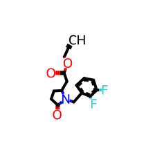 C#CCOC(=O)CC1CCC(=O)N1Cc1cccc(F)c1F